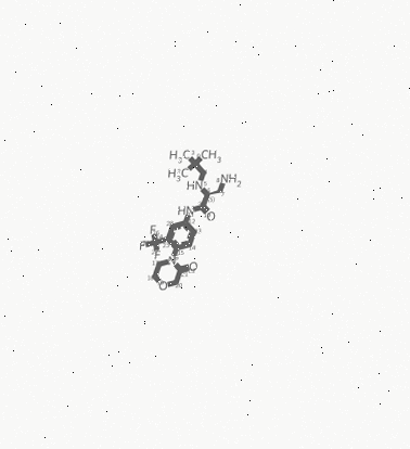 CC(C)(C)CN[C@@H](CN)C(=O)Nc1ccc(N2CCOCC2=O)c(C(F)(F)F)c1